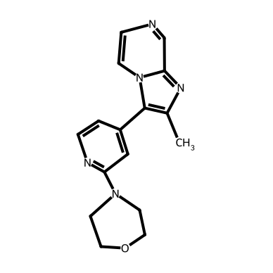 Cc1nc2cnccn2c1-c1ccnc(N2CCOCC2)c1